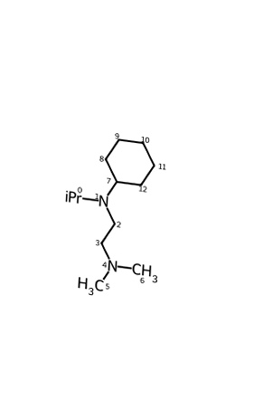 CC(C)N(CCN(C)C)C1CCCCC1